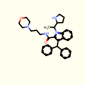 CC(C1CCCN1)n1c(C(=O)NCCCN2CCOCC2)c(C(c2ccccc2)c2ccccc2)c2ccccc21